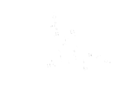 CCC(N=C=O)c1cc(C)cc(C(CC)N=C=O)c1